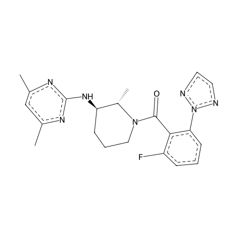 Cc1cc(C)nc(N[C@@H]2CCCN(C(=O)c3c(F)cccc3-n3nccn3)[C@H]2C)n1